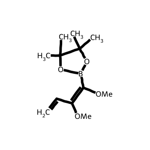 C=C/C(OC)=C(/OC)B1OC(C)(C)C(C)(C)O1